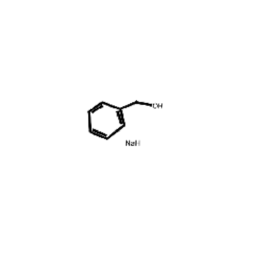 O[CH]c1ccccc1.[NaH]